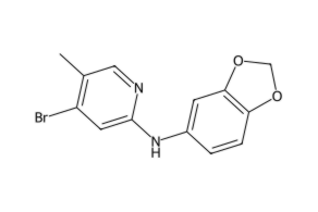 Cc1cnc(Nc2ccc3c(c2)OCO3)cc1Br